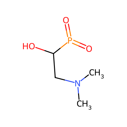 CN(C)CC(O)P(=O)=O